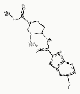 CC(C)(C)OC(=O)N1CCC(NC(=O)c2cc3cc(F)ccc3[nH]2)C(N)C1